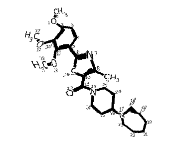 COc1ccc(-c2nc(C)c(C(=O)N3CCC(N4CCCCCC4)CC3)s2)c(OC)c1OC